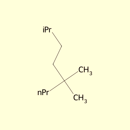 CCCC(C)(C)CCC(C)C